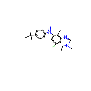 CCN(C)/C=N\c1cc(F)cc(Nc2ccc(C(C)(C)C)cc2)c1C